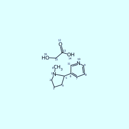 CN1CCCC1c1cccnc1.O=C(O)CO